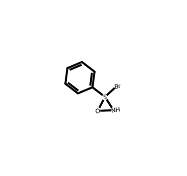 BrS1(c2ccccc2)NO1